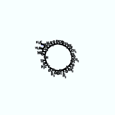 C/C=C/CC(C)C(O)C1C(=O)NC(CC)C(=O)N(C)CC(=O)N(C)C(CC)C(=O)NC(C)C(=O)N(C)C(CC)C(=O)NC(C)C(=O)NC(C)C(=O)N(C)C(CC)C(=O)C(C)C(CC)C(=O)N(C)C(C)C(=O)N1C